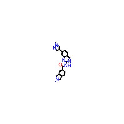 CN1Cc2ccc(C(=O)Nc3ncc4ccc(-c5cnn(C)c5)cc4n3)cc2C1